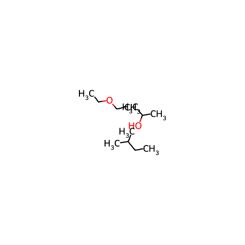 CC(C)O.CCC(C)C.CCOCC